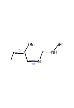 C/C=C(\C=N/CNC(C)C)C(C)(C)C